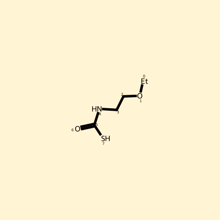 CCOCCNC(=O)S